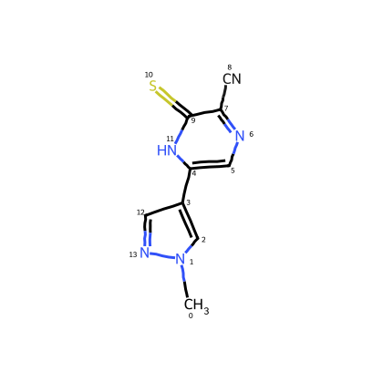 Cn1cc(-c2cnc(C#N)c(=S)[nH]2)cn1